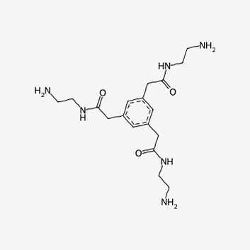 NCCNC(=O)Cc1cc(CC(=O)NCCN)cc(CC(=O)NCCN)c1